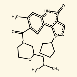 Cc1cc2[nH]c(=O)c3cnn(C4CCCC4)c3c2cc1C(=O)N1CCOC(CN(C)C)C1